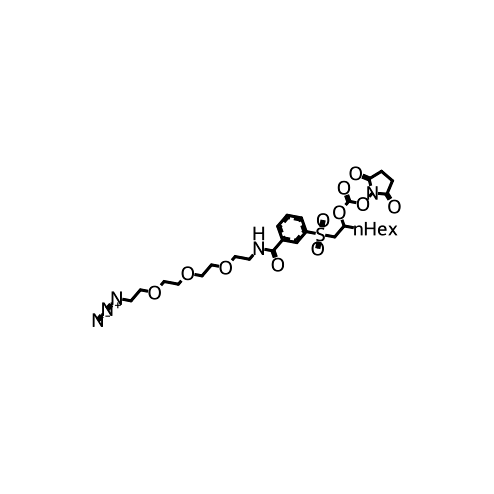 CCCCCCC(CS(=O)(=O)c1cccc(C(=O)NCCOCCOCCOCCN=[N+]=[N-])c1)OC(=O)ON1C(=O)CCC1=O